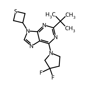 CC(C)(C)c1nc(N2CCC(F)(F)C2)c2ncn(C3CSC3)c2n1